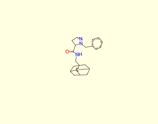 O=C(NCC12CC3CC(CC(C3)C1)C2)C1CC=NN1Cc1ccccc1